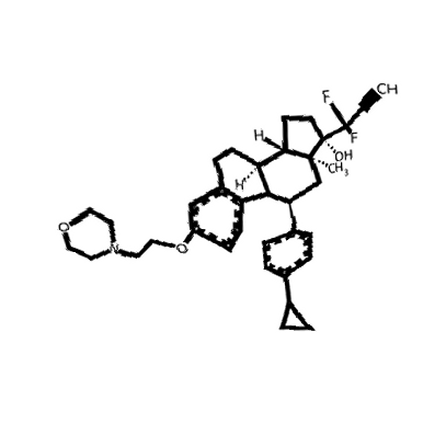 C#CC(F)(F)[C@]1(O)CC[C@H]2[C@@H]3CCc4cc(OCCN5CCOCC5)ccc4C3[C@H](c3ccc(C4CC4)cc3)C[C@@]21C